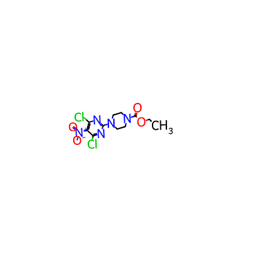 CCOC(=O)N1CCN(c2nc(Cl)c([N+](=O)[O-])c(Cl)n2)CC1